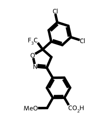 COCc1cc(C2=NOC(c3cc(Cl)cc(Cl)c3)(C(F)(F)F)C2)ccc1C(=O)O